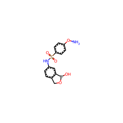 NOc1ccc(S(=O)(=O)Nc2ccc3c(c2)B(O)OC3)cc1